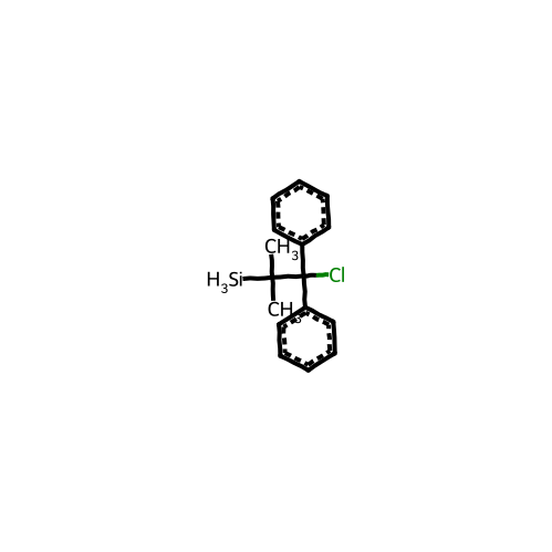 CC(C)([SiH3])C(Cl)(c1ccccc1)c1ccccc1